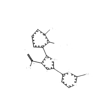 Cc1cccc(-c2[nH]c(-c3ccnc(N)n3)cc2C(N)=O)c1C.Cl